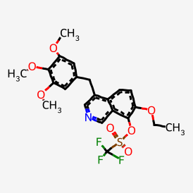 CCOc1ccc2c(Cc3cc(OC)c(OC)c(OC)c3)cncc2c1OS(=O)(=O)C(F)(F)F